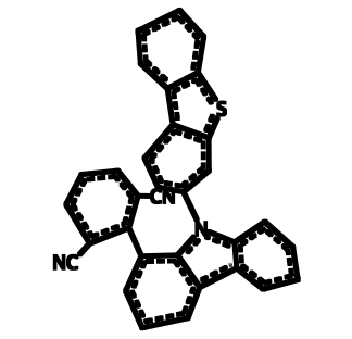 N#Cc1cccc(C#N)c1-c1cccc2c3ccccc3n(-c3ccc4c(c3)sc3ccccc34)c12